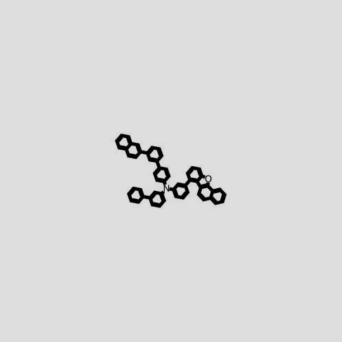 c1ccc(-c2cccc(N(c3ccc(-c4cccc(-c5ccc6ccccc6c5)c4)cc3)c3cccc(-c4cccc5oc6c7ccccc7ccc6c45)c3)c2)cc1